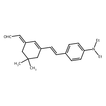 CCN(CC)c1ccc(/C=C/C2=CC(=C/C=O)/CC(C)(C)C2)cc1